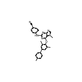 Cc1ccc(-c2cc(C)c(Oc3nc(Nc4ccc(C#N)cc4)nc4ncn(C)c34)c(C)c2)cc1